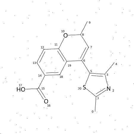 Cc1nc(C)c(C2=CC(C)Oc3ccc(C(=O)O)cc32)s1